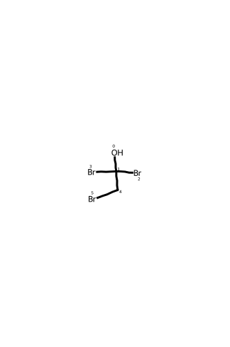 OC(Br)(Br)CBr